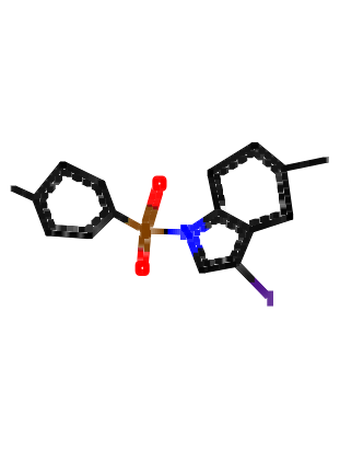 Cc1ccc(S(=O)(=O)n2cc(I)c3cc(C)ccc32)cc1